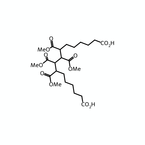 COC(=O)C(CCCCCC(=O)O)C(C(=O)OC)C(C(=O)OC)C(CCCCCC(=O)O)C(=O)OC